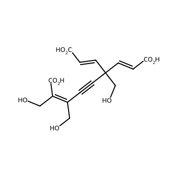 O=C(O)C=CC(C#CC(CO)=C(CO)C(=O)O)(C=CC(=O)O)CO